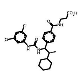 C[C@@H](C1CCCCC1)C(NC(=O)Nc1cc(Cl)cc(Cl)c1)c1ccc(C(=O)NCCC(=O)O)cc1